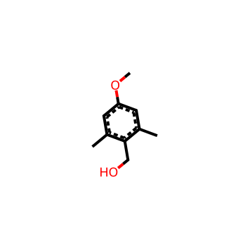 COc1cc(C)c(CO)c(C)c1